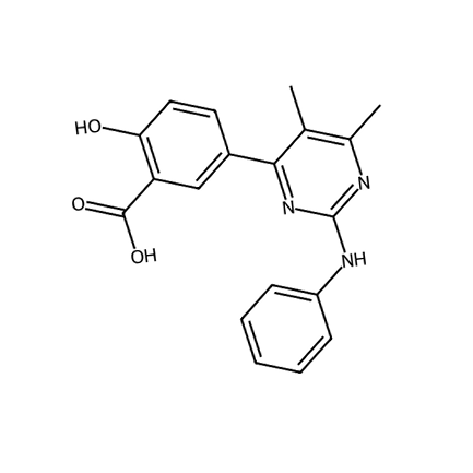 Cc1nc(Nc2ccccc2)nc(-c2ccc(O)c(C(=O)O)c2)c1C